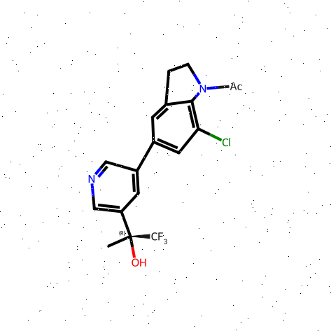 CC(=O)N1CCc2cc(-c3cncc([C@@](C)(O)C(F)(F)F)c3)cc(Cl)c21